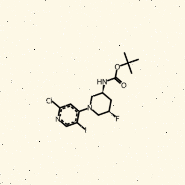 CC(C)(C)OC(=O)N[C@H]1C[C@@H](F)CN(c2cc(Cl)ncc2I)C1